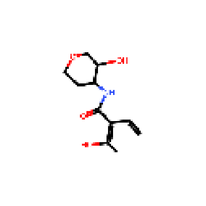 C=C/C(C(=O)NC1CCOCC1O)=C(\C)O